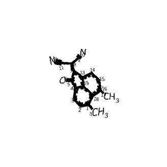 Cc1ccc2c(=O)c(=C(C#N)C#N)c3ccc(C)c1c23